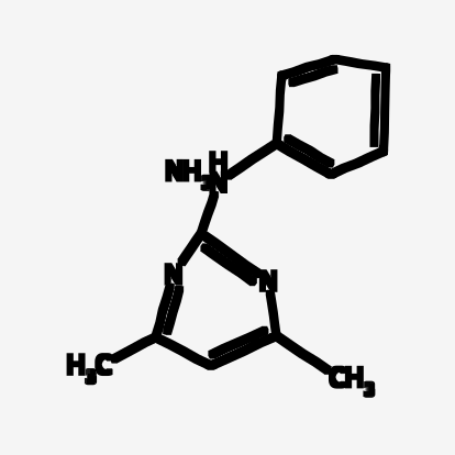 Cc1cc(C)nc(Nc2ccccc2)n1.N